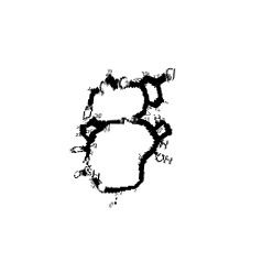 C[C@H]1C/C=C/[C@H](O)[C@@H]2CC[C@H]2CN2Cc3ccc(Cl)cc3CCCCOc3ccc(cc32)C(=O)/N=[SH](=O)\C1